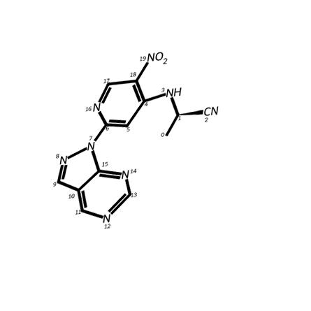 C[C@H](C#N)Nc1cc(-n2ncc3cncnc32)ncc1[N+](=O)[O-]